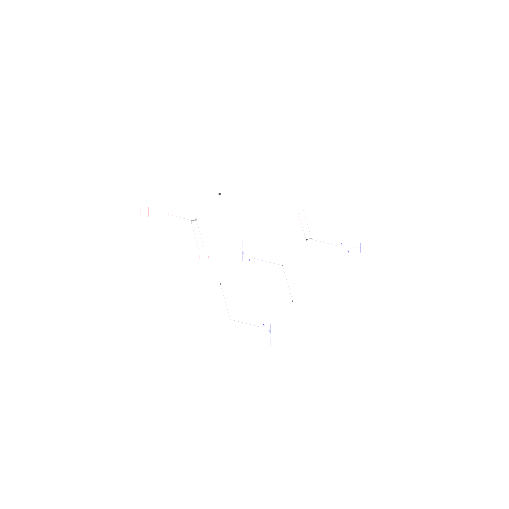 NC(=O)C1CNCCN1.O=C(O)C(F)(F)F